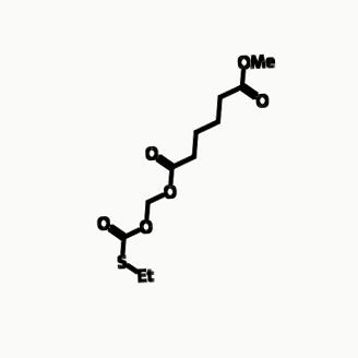 CCSC(=O)OCOC(=O)CCCCC(=O)OC